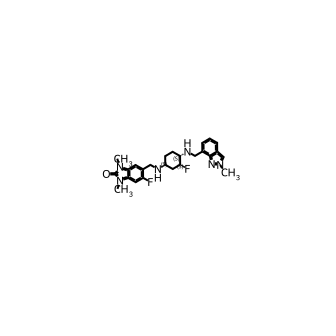 Cn1cc2cccc(CN[C@H]3CC[C@H](NCc4cc5c(cc4F)n(C)c(=O)n5C)C[C@@H]3F)c2n1